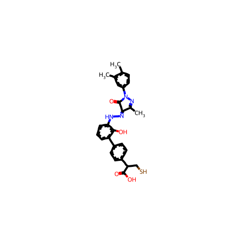 CC1=NN(c2ccc(C)c(C)c2)C(=O)C1=NNc1cccc(-c2ccc(C(CS)C(=O)O)cc2)c1O